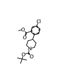 COC(=O)c1cc(Cl)ccc1C1CCN(C(=O)OC(C)(C)C)CC1